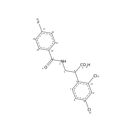 O=C(NCC(C(=O)O)c1ccc(Cl)cc1Cl)c1ccc(F)cc1